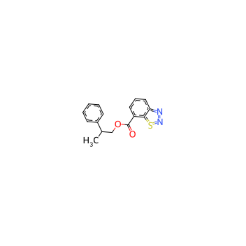 CC(COC(=O)c1cccc2nnsc12)c1ccccc1